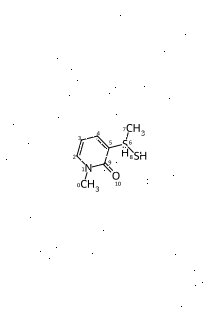 Cn1cccc([SH](C)S)c1=O